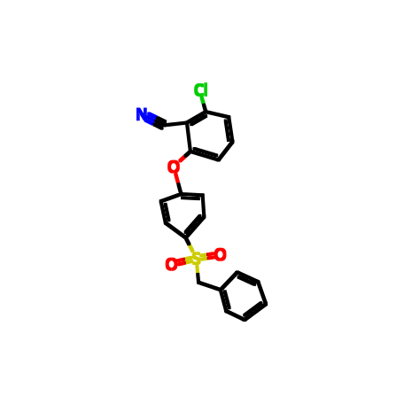 N#Cc1c(Cl)cccc1Oc1ccc(S(=O)(=O)Cc2ccccc2)cc1